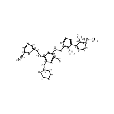 CNc1cccc(-c2cccc(COc3cc(OCc4cncc(C#N)c4)c(CN4CCCCC4)cc3Cl)c2C)c1C